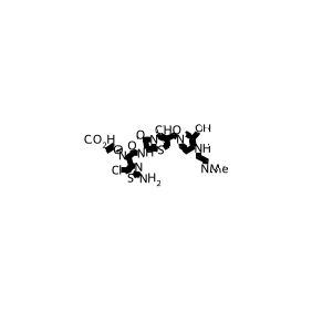 CNCCNc1cc[n+](CC2=C(C=O)N3C(=O)C(NC(=O)/C(=N\O[C@@H](C)C(=O)O)c4nc(N)sc4Cl)C3SC2)cc1CO